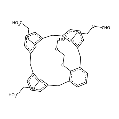 O=COCOc1c2cccc1Cc1cccc(c1OCC(=O)O)Cc1cccc(c1OCC(=O)O)Cc1cccc(c1OCOC=O)C2